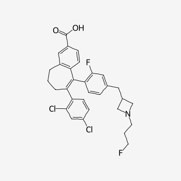 O=C(O)c1ccc2c(c1)CCCC(c1ccc(Cl)cc1Cl)=C2c1ccc(CC2CN(CCCF)C2)cc1F